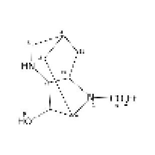 CCOC(=O)N1C2CC3CNC(C2O)C1C3